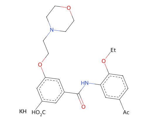 CCOc1ccc(C(C)=O)cc1NC(=O)c1cc(OCCN2CCOCC2)cc(C(=O)O)c1.[KH]